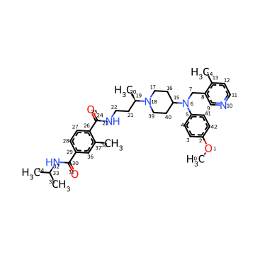 COc1ccc(N(Cc2cnccc2C)C2CCN([C@H](C)CCNC(=O)c3ccc(C(=O)NC(C)C)cc3C)CC2)cc1